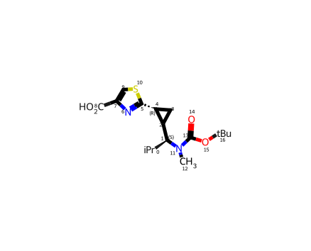 CC(C)[C@@H](C1C[C@H]1c1nc(C(=O)O)cs1)N(C)C(=O)OC(C)(C)C